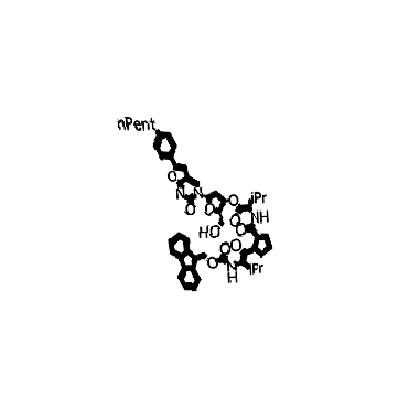 CCCCCc1ccc(-c2cc3cn([C@H]4C[C@@H](OC(=O)C(NC(=O)C5CCCC5C(=O)C(NC(=O)OCC5c6ccccc6-c6ccccc65)C(C)C)C(C)C)[C@@H](CO)O4)c(=O)nc3o2)cc1